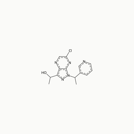 CC(O)c1nn(C(C)c2cccnc2)c2nc(Cl)cnc12